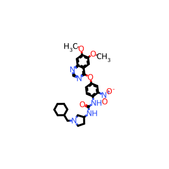 COc1cc2ncnc(Oc3ccc(NC(=O)NC4CCN(CC5CCCCC5)C4)c([N+](=O)[O-])c3)c2cc1OC